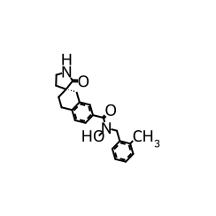 Cc1ccccc1CN(O)C(=O)c1ccc2c(c1)C[C@@]1(CCNC1=O)CC2